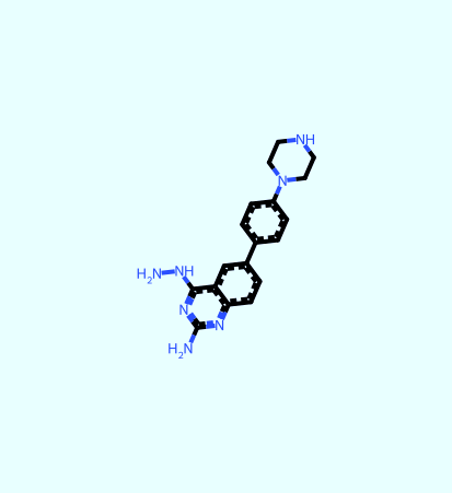 NNc1nc(N)nc2ccc(-c3ccc(N4CCNCC4)cc3)cc12